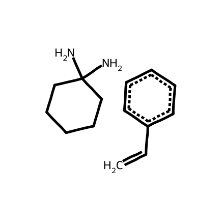 C=Cc1ccccc1.NC1(N)CCCCC1